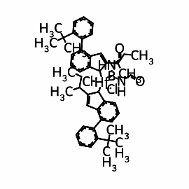 CCC(C)C1=Cc2c(-c3ccccc3C(C)(C)C)cccc2[CH]1[Hf]([Cl])([Cl])([B](NC=O)NC=O)[CH]1C(C(C)CC)=Cc2c(-c3ccccc3C(C)(C)C)cccc21